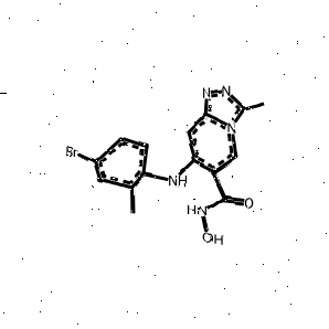 Cc1cc(Br)ccc1Nc1cc2nnc(C)n2cc1C(=O)NO